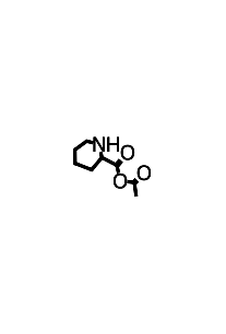 CC(=O)OC(=O)C1CCCCN1